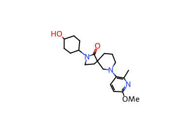 COc1ccc(N2CCCC3(CCN(C4CCC(O)CC4)C3=O)C2)c(C)n1